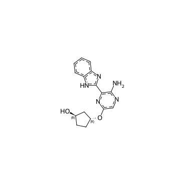 Nc1ncc(O[C@@H]2CC[C@@H](O)C2)nc1-c1nc2ccccc2[nH]1